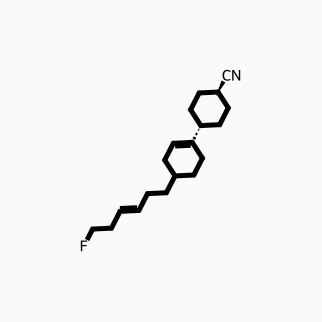 N#C[C@H]1CC[C@H](C2=CCC(CC/C=C/CCF)CC2)CC1